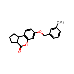 COc1cccc(COc2ccc3c(c2)OC(=O)C2CCCC32)c1